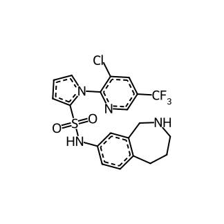 O=S(=O)(Nc1ccc2c(c1)CNCCC2)c1cccn1-c1ncc(C(F)(F)F)cc1Cl